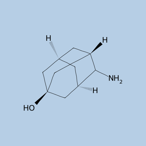 NC1[C@@H]2C[C@@H]3C[C@H]1C[C@@](O)(C3)C2